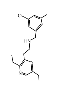 CCc1cnc(CC)c(CCNCc2cc(C)cc(Cl)c2)n1